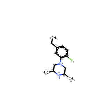 CCc1ccc(F)c(N2CC(C)NC(C)C2)c1